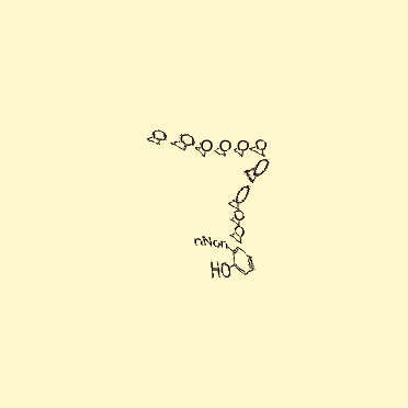 C1CO1.C1CO1.C1CO1.C1CO1.C1CO1.C1CO1.C1CO1.C1CO1.C1CO1.C1CO1.CCCCCCCCCc1ccccc1O